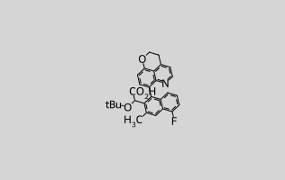 Cc1cc2c(F)cccc2c(-c2ccc3c4c(ccnc24)CCO3)c1C(OC(C)(C)C)C(=O)O